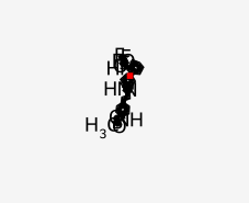 CS(=O)(=O)Nc1ccc(CCc2nc3cc(-c4ccccc4NS(=O)(=O)C(F)(F)F)ccc3[nH]2)cc1